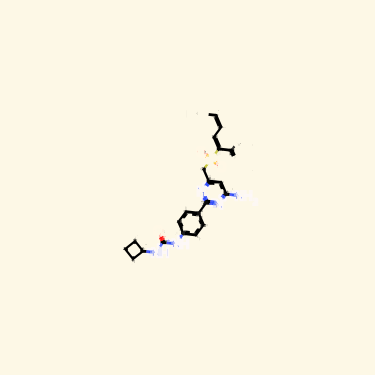 C=C(/C(=C\C=C/C)S(=O)(=O)Cc1cc(N)nc(-c2ccc(NC(=O)NC3CCC3)cc2)n1)C(F)(F)F